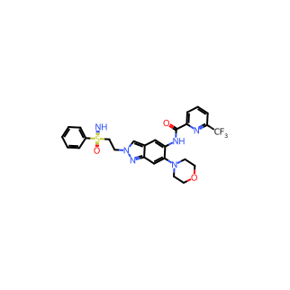 N=S(=O)(CCn1cc2cc(NC(=O)c3cccc(C(F)(F)F)n3)c(N3CCOCC3)cc2n1)c1ccccc1